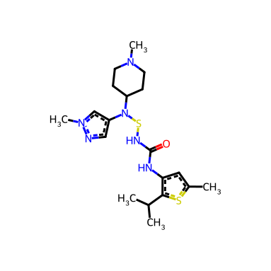 Cc1cc(NC(=O)NSN(c2cnn(C)c2)C2CCN(C)CC2)c(C(C)C)s1